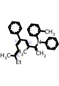 C=C(/C(C)=C/C(=C\C=C(/C)CC)c1ccccc1)N(c1ccccc1)c1ccccc1C